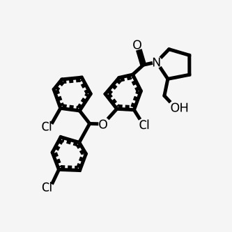 O=C(c1ccc(OC(c2ccc(Cl)cc2)c2ccccc2Cl)c(Cl)c1)N1CCCC1CO